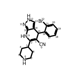 N#CC1=C(C2CCNCC2)Nc2n[nH]cc2C1c1ccccc1Br